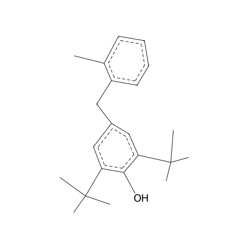 Cc1ccccc1Cc1cc(C(C)(C)C)c(O)c(C(C)(C)C)c1